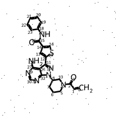 C=CC(=O)N1CCC[C@@H](n2nc(-c3cc(C(=O)Nc4ccccc4)cs3)c3c(N)ncnc32)C1